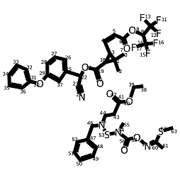 CC1(C)C(/C=C\C(=O)OC(C(F)(F)F)C(F)(F)F)C1C(=O)OC(C#N)c1cccc(Oc2ccccc2)c1.CCOC(=O)CCN(Cc1ccccc1)SN(C)C(=O)O/N=C(/C)SC